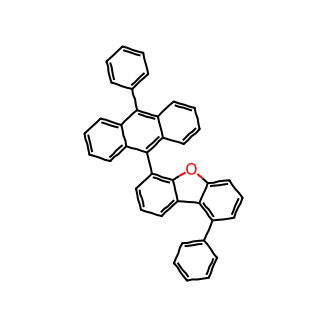 c1ccc(-c2c3ccccc3c(-c3cccc4c3oc3cccc(-c5ccccc5)c34)c3ccccc23)cc1